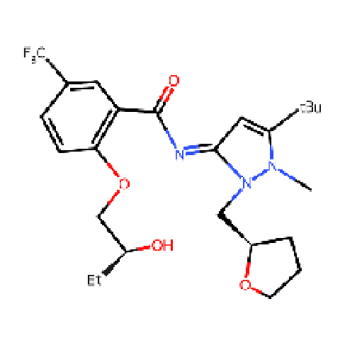 CC[C@H](O)COc1ccc(C(F)(F)F)cc1C(=O)/N=c1\cc(C(C)(C)C)n(C)n1C[C@H]1CCCO1